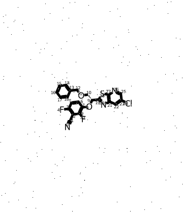 N#Cc1c(F)ccc(O[C@H](COCc2ccccc2)c2nc3cc(Cl)cnc3s2)c1F